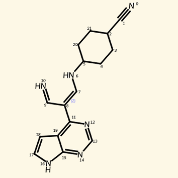 N#CC1CCC(N/C=C(\C=N)c2ncnc3[nH]ccc23)CC1